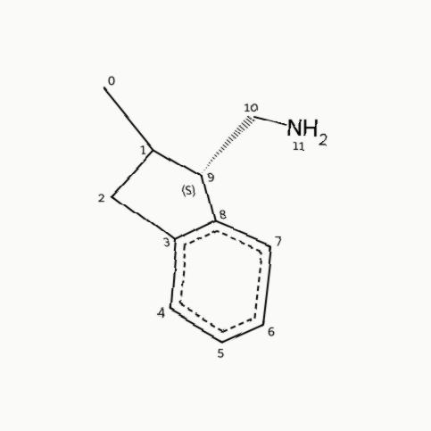 CC1Cc2ccccc2[C@H]1CN